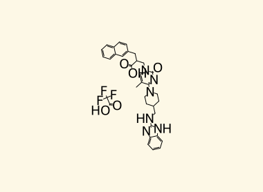 Cc1cn(CC(Cc2ccc3ccccc3c2)C(=O)O)c(=O)nc1N1CCC(CNc2nc3ccccc3[nH]2)CC1.O=C(O)C(F)(F)F